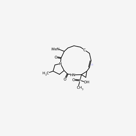 CNC1CCCCC/C=C\C2CC2(P(C)(=O)O)NC(=O)C2CC(C)CN2C1=O